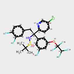 CC(C)(C)[S+]([O-])N[C@@](Cc1ccc(F)c(F)c1)(c1cc(F)cc(OC(F)(F)C(F)F)c1)c1ccc(Cl)cn1